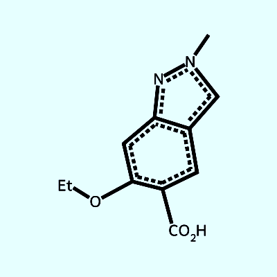 CCOc1cc2nn(C)cc2cc1C(=O)O